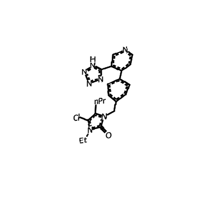 CCCc1c(Cl)n(CC)c(=O)n1Cc1ccc(-c2ccncc2-c2nnn[nH]2)cc1